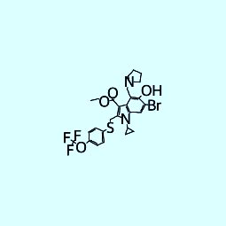 CCOC(=O)c1c(CSc2ccc(OC(F)(F)F)cc2)n(C2CC2)c2cc(Br)c(O)c(CN3CCCC3)c12